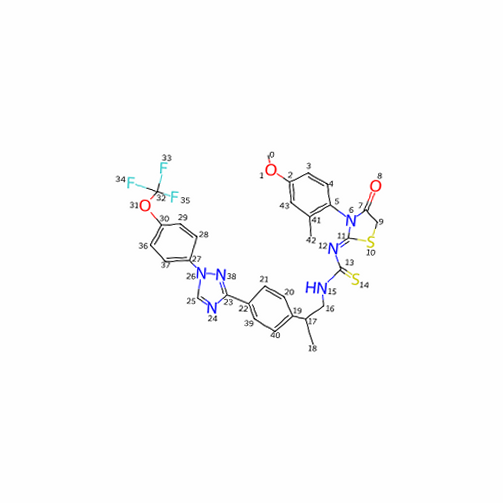 COc1ccc(N2C(=O)CS/C2=N\C(=S)NCC(C)c2ccc(-c3ncn(-c4ccc(OC(F)(F)F)cc4)n3)cc2)c(C)c1